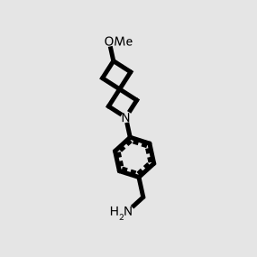 COC1CC2(C1)CN(c1ccc(CN)cc1)C2